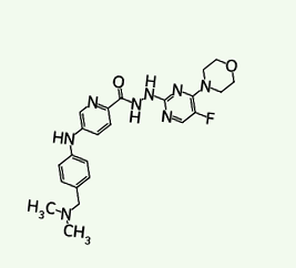 CN(C)Cc1ccc(Nc2ccc(C(=O)NNc3ncc(F)c(N4CCOCC4)n3)nc2)cc1